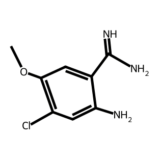 COc1cc(C(=N)N)c(N)cc1Cl